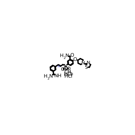 CS(=O)(=O)N(C/C=C/c1cccc(C(=N)N)c1)c1ccc(OC2CCN(C3=NCCS3)CC2)c(C(N)=O)c1.Cl.Cl